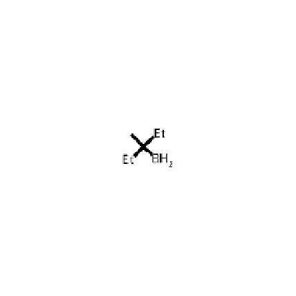 BC(C)(CC)CC